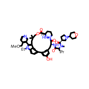 CCn1c(-c2cnccc2COC)c2c3cc(ccc31)-c1cc(O)cc(c1)C[C@H](NC(=O)C(C(C)C)N(C)C(=O)[C@H]1CCN(C3CCOCC3)C1)C(=O)N1CCC[C@H](N1)C(=O)OCC(C)(C)C2